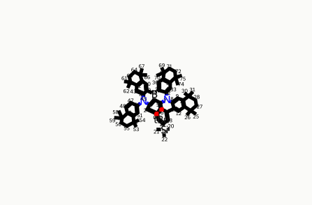 CC(C)(C)c1cc2c3c(c1)N(c1cc4c(cc1-c1cccc([Si](C)(C)C)c1)C(C)(C)CCC4(C)C)c1cc4c(cc1B3c1cc3c(cc1N2c1ccc2c(c1)C(C)(C)CCC2(C)C)C(C)(C)CCC3(C)C)C(C)(C)CCC4(C)C